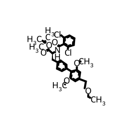 CCOCCc1cc(OC)c(-c2ccc(C[C@H](NC(=O)c3c(Cl)cccc3Cl)C(=O)OC(C)(C)C)cc2)c(OC)c1